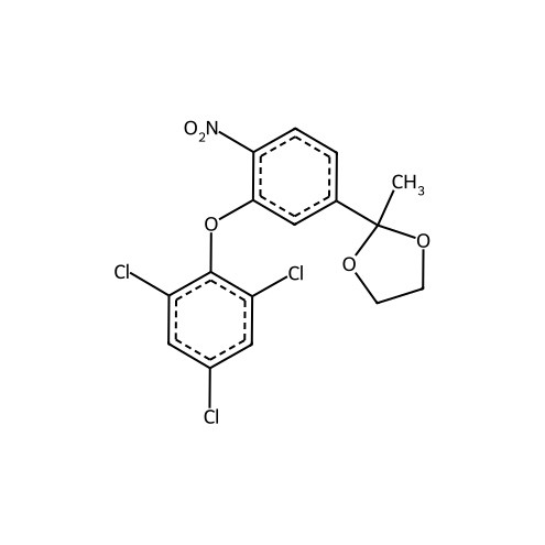 CC1(c2ccc([N+](=O)[O-])c(Oc3c(Cl)cc(Cl)cc3Cl)c2)OCCO1